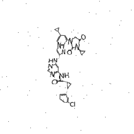 O=C(Nc1cc(NCc2cn3cc(C4CC4)cc(N4CC(=O)N(C5CC5)C4=O)c3n2)ncn1)[C@H]1C[C@@H]1c1cccc(Cl)c1